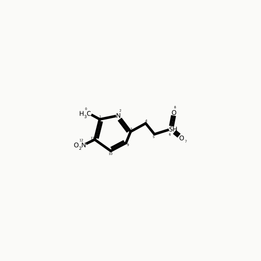 Cc1nc(CC[SH](=O)=O)ccc1[N+](=O)[O-]